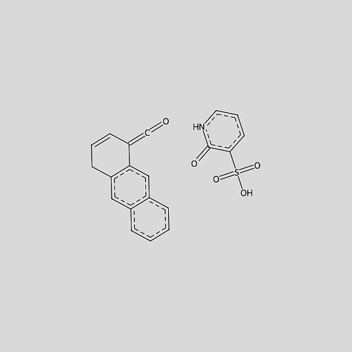 O=C=C1C=CCc2cc3ccccc3cc21.O=c1[nH]cccc1S(=O)(=O)O